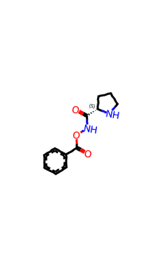 O=C(ONC(=O)[C@@H]1CCCN1)c1ccccc1